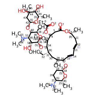 CCC(=O)O[C@@H]1CC(=O)O[C@H](C)C/C=C/C=C/[C@H](O[C@@H]2CC[C@H](N(C)C)[C@@H](C)O2)[C@H](C)C[C@H](CC=O)[C@H](O[C@@H]2O[C@H](C)[C@@H](O[C@H]3C[C@@](C)(O)[C@@H](O)[C@H](C)O3)[C@H](N(C)C)[C@H]2O)[C@H]1OC